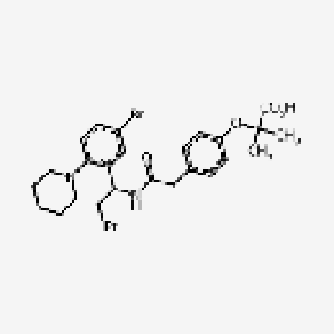 CC(C)CC(NC(=O)Cc1ccc(OC(C)(C)C(=O)O)cc1)c1cc(Br)ccc1N1CCCCC1